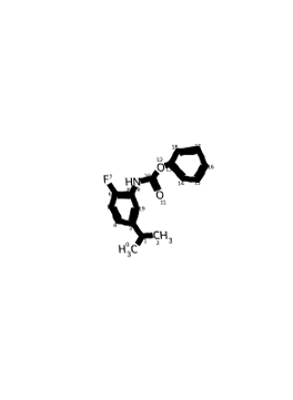 CC(C)c1ccc(F)c(NC(=O)Oc2ccccc2)c1